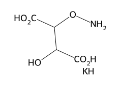 NOC(C(=O)O)C(O)C(=O)O.[KH]